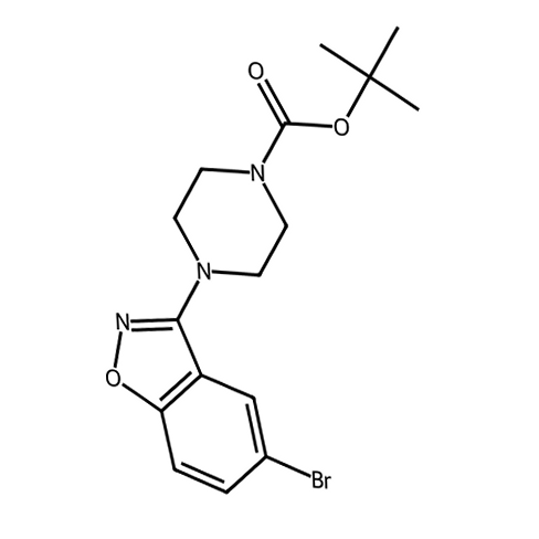 CC(C)(C)OC(=O)N1CCN(c2noc3ccc(Br)cc23)CC1